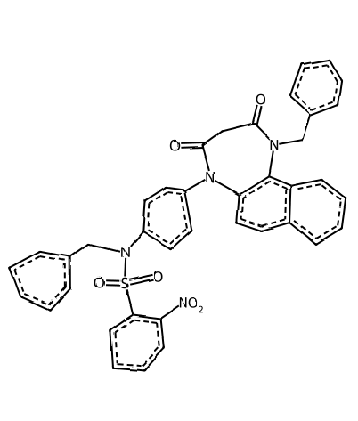 O=C1CC(=O)N(c2ccc(N(Cc3ccccc3)S(=O)(=O)c3ccccc3[N+](=O)[O-])cc2)c2ccc3ccccc3c2N1Cc1ccccc1